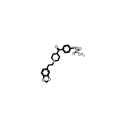 CS(=O)(=O)Nc1ccc(C(=O)C2CCN(CCc3ccc4c(c3)OCO4)CC2)cc1